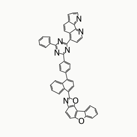 c1ccc(-c2nc(-c3ccc(-c4ccc(-c5nc6ccc7oc8ccccc8c7c6o5)c5ccccc45)cc3)nc(-c3ccnc4c3ccc3cccnc34)n2)cc1